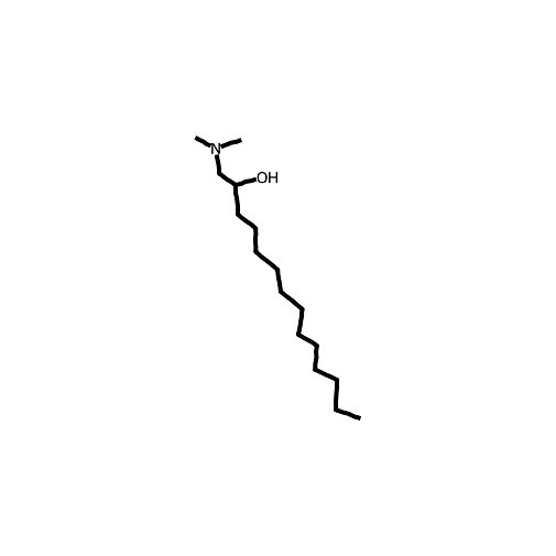 CCCCCCCCCCCCC(O)CN(C)C